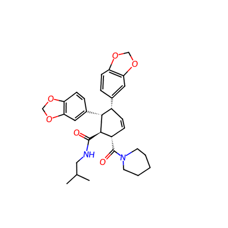 CC(C)CNC(=O)[C@H]1[C@H](c2ccc3c(c2)OCO3)[C@H](c2ccc3c(c2)OCO3)C=C[C@@H]1C(=O)N1CCCCC1